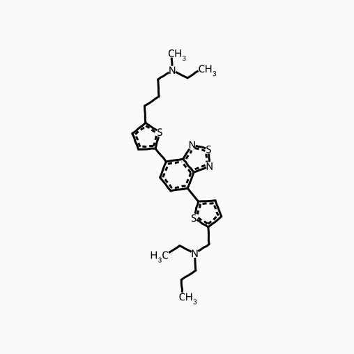 CCCN(CC)Cc1ccc(-c2ccc(-c3ccc(CCCN(C)CC)s3)c3nsnc23)s1